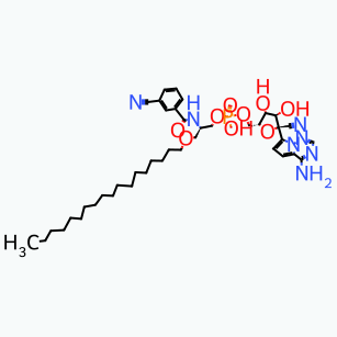 CCCCCCCCCCCCCCCCCCOC[C@H](COP(=O)(O)OC[C@H]1O[C@@](C#N)(c2ccc3c(N)ncnn23)[C@H](O)[C@@H]1O)NC(=O)c1cccc(C#N)c1